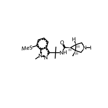 CSc1cccc2c(C(C)(C)NC(=O)[C@H]3[C@@H]4CN(I)C[C@@]43C)nn(C)c12